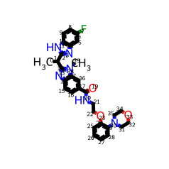 CC(c1nc2cc(F)ccc2[nH]1)c1nc2ccc(C(=O)NCCOc3ccccc3N3CCOCC3)cc2n1C